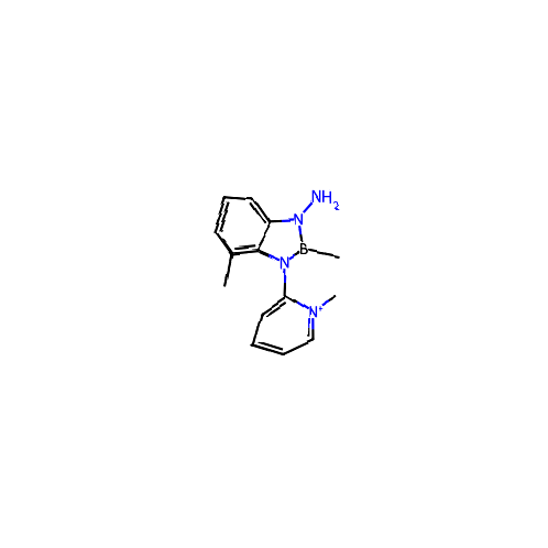 CB1N(N)c2cccc(C)c2N1c1cccc[n+]1C